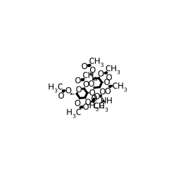 CNC(=O)O[C@@H]1[C@@H](O[C@@H]2[C@@H](OC(C)=O)O[C@@H](COC(C)=O)[C@@H](OC(C)=O)[C@@H]2OC(C)=O)O[C@H](COC(C)=O)[C@@H](OC(C)=O)[C@@H]1OC(C)=O